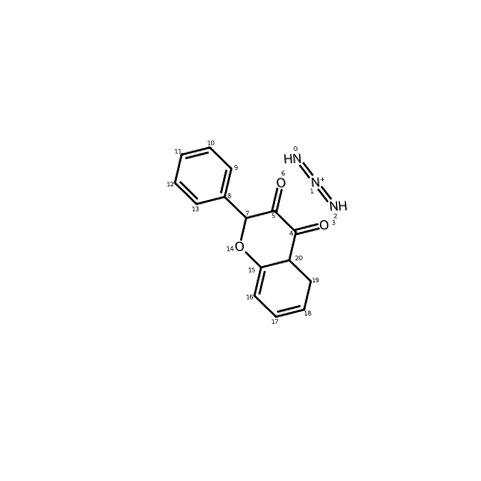 N=[N+]=N.O=C1C(=O)C(c2ccccc2)OC2=CC=CCC12